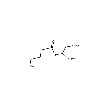 CCCCCCCCCCCCCC(=O)OC(CCCCCCCC)CCCCCCCCCCC